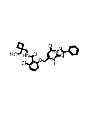 O=C(NCC1(CO)CCC1)C1=C(Cl)C=CCC1OCc1cc(=O)n2nc(-c3ccccc3)nc2[nH]1